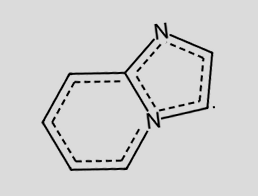 [c]1cnc2ccccn12